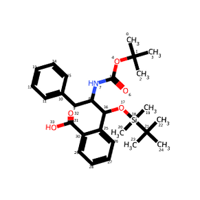 CC(C)(C)OC(=O)NC(Cc1ccccc1)C(O[Si](C)(C)C(C)(C)C)c1ccccc1C(=O)O